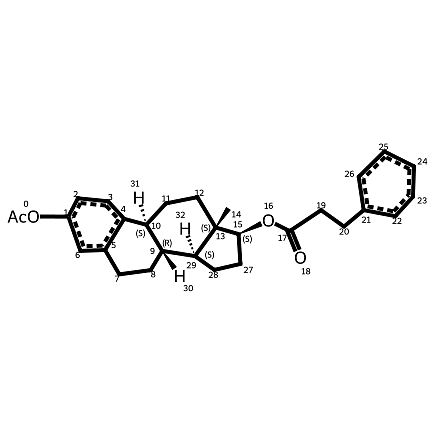 CC(=O)Oc1ccc2c(c1)CC[C@@H]1[C@@H]2CC[C@]2(C)[C@@H](OC(=O)CCc3ccccc3)CC[C@@H]12